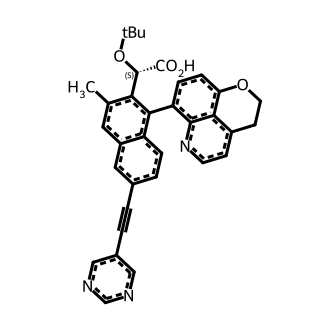 Cc1cc2cc(C#Cc3cncnc3)ccc2c(-c2ccc3c4c(ccnc24)CCO3)c1[C@H](OC(C)(C)C)C(=O)O